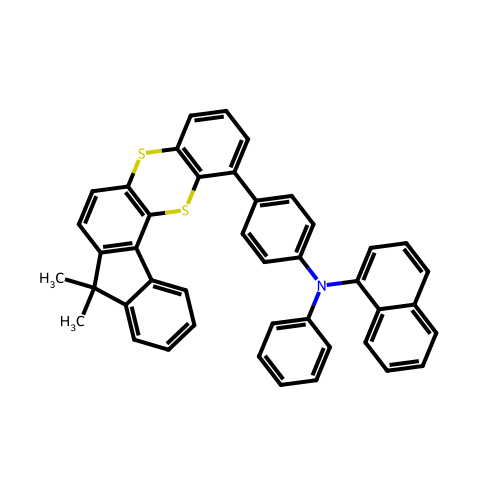 CC1(C)c2ccccc2-c2c1ccc1c2Sc2c(cccc2-c2ccc(N(c3ccccc3)c3cccc4ccccc34)cc2)S1